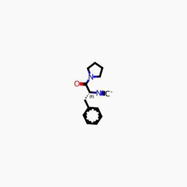 [C-]#[N+][C@H](Cc1ccccc1)C(=O)N1CCCC1